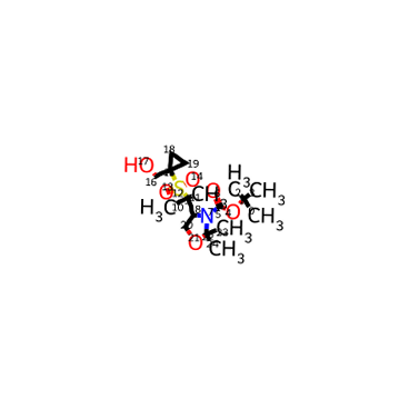 CC(C)(C)OC(=O)N1C(C(C)(C)S(=O)(=O)C2(CO)CC2)COC1(C)C